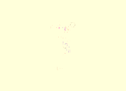 CCCCCCCCCCCCCCCC(=O)Nc1ccn([C@@H]2CO[C@H](COP(=O)(N[C@@H](C)C(=O)OC(C)C)Oc3ccccc3)O2)c(=O)n1